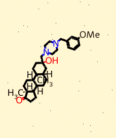 COc1cccc(CN2CCN(C[C@@]3(O)CC[C@@]4(C)[C@@H](CC[C@@H]5[C@@H]4CC[C@]4(C)C(=O)CC[C@@H]54)C3)CC2)c1